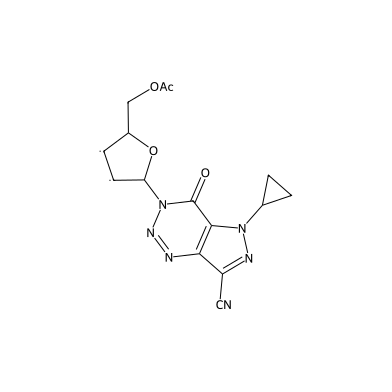 CC(=O)OCC1[CH][CH]C(n2nnc3c(C#N)nn(C4CC4)c3c2=O)O1